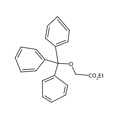 CCOC(=O)COC(c1ccccc1)(c1ccccc1)c1ccccc1